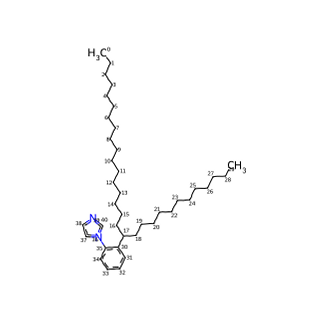 CCCCCCCCCCCCCCCCCC(CCCCCCCCCCCC)c1ccccc1-n1ccnc1